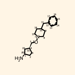 N[C@@H]1CC[C@H](CON2CCC(Cc3ccccc3)CC2)C1